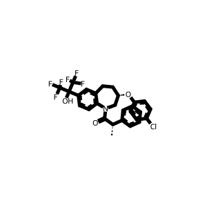 C[C@H](C(=O)N1C[C@@H](Oc2ccc(Cl)cc2)CCc2cc(C(O)(C(F)(F)F)C(F)(F)F)ccc21)c1ccccc1